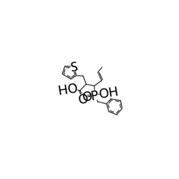 CC=CC(C(Cc1cccs1)C(=O)O)P(=O)(O)Cc1ccccc1